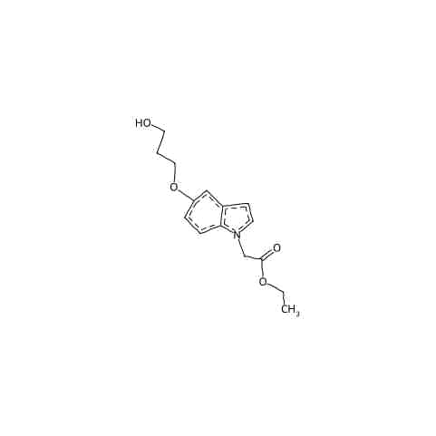 CCOC(=O)Cn1ccc2cc(OCCCO)ccc21